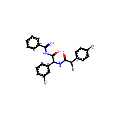 N=C(NC(=O)C(NC(=O)C(Br)c1ccc(Cl)cc1)c1cccc(Cl)c1)c1ccccc1